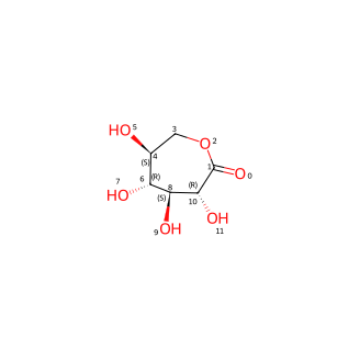 O=C1OC[C@H](O)[C@@H](O)[C@H](O)[C@H]1O